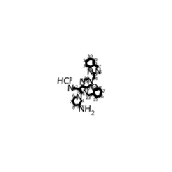 Cl.N#Cc1c(N2CCC[C@H](N)C2)n(Cc2ccccc2)c2c(=O)n(Cc3ncc4ccccc4n3)cnc12